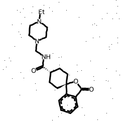 CCN1CCN(CNC(=O)[C@H]2CC[C@@]3(CC2)OC(=O)c2ccccc23)CC1